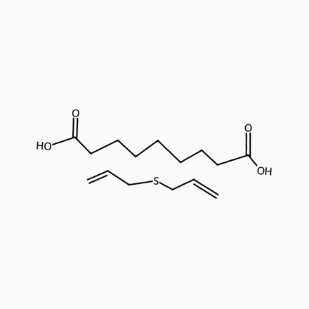 C=CCSCC=C.O=C(O)CCCCCCCC(=O)O